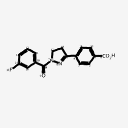 O=C(O)c1ccc(C2=NN(C(=O)c3cccc(F)c3)CC2)cc1